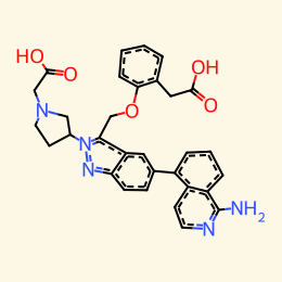 Nc1nccc2c(-c3ccc4nn(C5CCN(CC(=O)O)C5)c(COc5ccccc5CC(=O)O)c4c3)cccc12